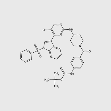 CC(C)(C)OC(=O)Nc1ccc(C(=O)N2CCC(Nc3ncc(Cl)c(-c4cn(S(=O)(=O)c5ccccc5)c5ccccc45)n3)CC2)cc1